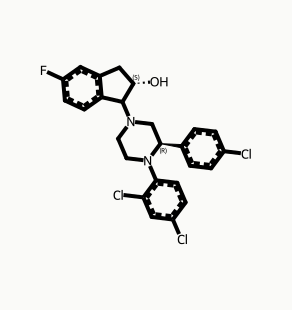 O[C@H]1Cc2cc(F)ccc2C1N1CCN(c2ccc(Cl)cc2Cl)[C@H](c2ccc(Cl)cc2)C1